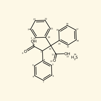 O=C(O)C(c1ccccc1)C(C(=O)O)(c1ccccc1)c1ccccc1.S